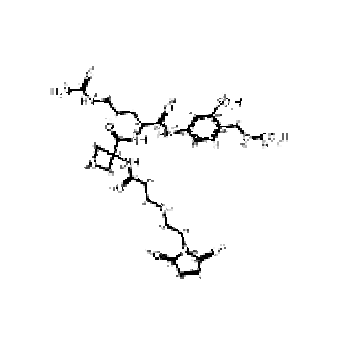 NC(=O)NCCC[C@H](NC(=O)C1(NC(=O)CCOCCN2C(=O)C=CC2=O)COC1)C(=O)Nc1ccc(COC(=O)O)c(S(=O)(=O)O)c1